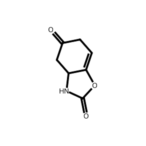 O=C1CC=C2OC(=O)NC2C1